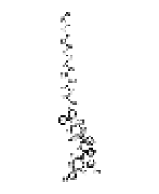 CCCCCCCCCCCCCCCCCCOC(=O)c1ccc(C(=O)CC(=O)c2ccc(OC)cc2OC)cc1